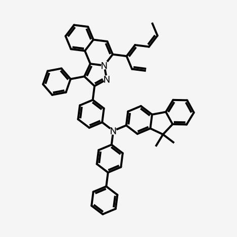 C=C/C(=C\C=C/C)c1cc2ccccc2c2c(-c3ccccc3)c(-c3cccc(N(c4ccc(-c5ccccc5)cc4)c4ccc5c(c4)C(C)(C)c4ccccc4-5)c3)nn12